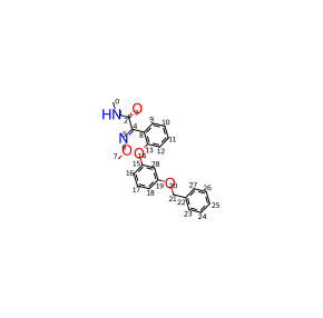 CNC(=O)/C(=N/OC)c1ccccc1Oc1cccc(OCc2ccccc2)c1